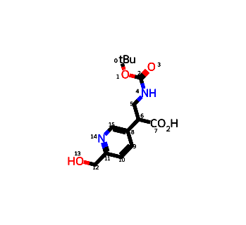 CC(C)(C)OC(=O)NCC(C(=O)O)c1ccc(CO)nc1